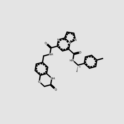 Cc1ccc([C@H](C)NC(=O)c2cc(C(=O)NCc3ccc4c(c3)NC(=O)CO4)nc3ccnn23)cc1